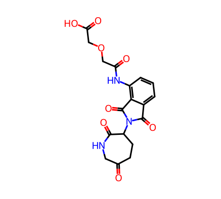 O=C(O)COCC(=O)Nc1cccc2c1C(=O)N(C1CCC(=O)CNC1=O)C2=O